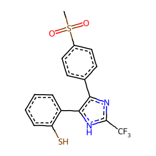 CS(=O)(=O)c1ccc(-c2nc(C(F)(F)F)[nH]c2-c2ccccc2S)cc1